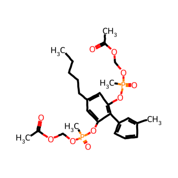 CCCCCc1cc(OP(C)(=O)OCOC(C)=O)c(-c2cccc(C)c2)c(OP(C)(=O)OCOC(C)=O)c1